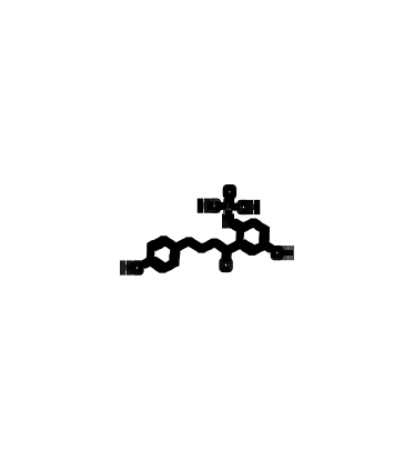 O=C(CCCc1ccc(O)cc1)C1=CC(O)=CCC1=NP(=O)(O)O